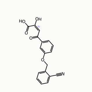 N#Cc1ccccc1COc1cccc(C(=O)/C=C(/O)C(=O)O)c1